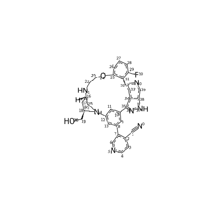 N#Cc1ccncc1-c1cc2cc(c1)N1C[C@H](C[C@@H]1CO)NCCOc1cccc(F)c1-c1cc3c-2n[nH]c3cn1